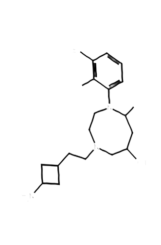 CCc1cccc(N2CCN(CCC3CC(N)C3)CC(C)CC2C)c1CC